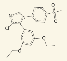 CCOc1cc(OCC)cc(-c2c(Cl)ncn2-c2ccc(S(C)(=O)=O)cc2)c1